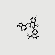 CC(=O)N1CC(C)(C)c2ccc(NC(=O)c3cc(F)cnc3NCc3ccnc4[nH]ccc34)cc21